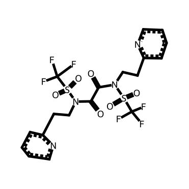 O=C(C(=O)N(CCc1ccccn1)S(=O)(=O)C(F)(F)F)N(CCc1ccccn1)S(=O)(=O)C(F)(F)F